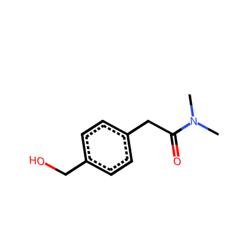 CN(C)C(=O)Cc1ccc(CO)cc1